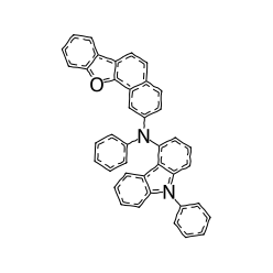 c1ccc(N(c2ccc3ccc4c5ccccc5oc4c3c2)c2cccc3c2c2ccccc2n3-c2ccccc2)cc1